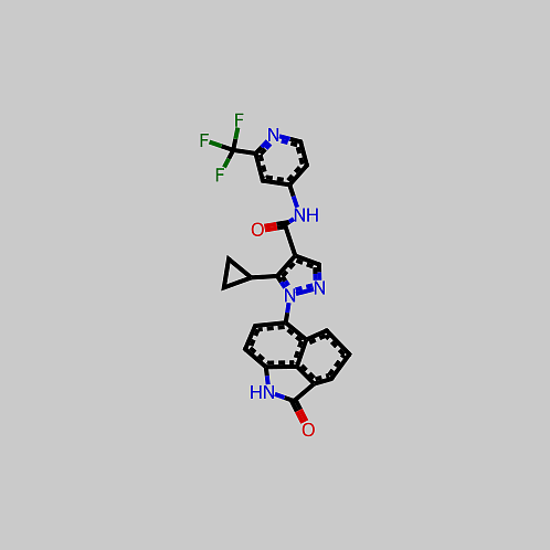 O=C(Nc1ccnc(C(F)(F)F)c1)c1cnn(-c2ccc3c4c(cccc24)C(=O)N3)c1C1CC1